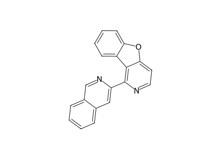 c1ccc2cc(-c3nccc4oc5ccccc5c34)ncc2c1